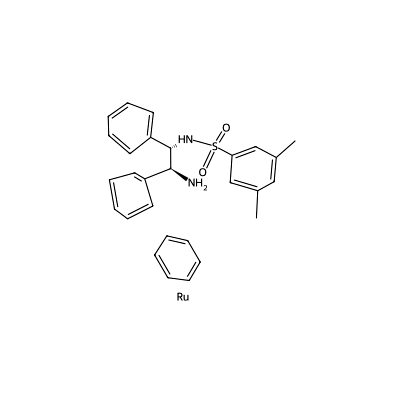 Cc1cc(C)cc(S(=O)(=O)N[C@@H](c2ccccc2)[C@@H](N)c2ccccc2)c1.[Ru].c1ccccc1